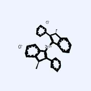 C[C@@H]1C(c2ccccc2)=[C]([Zr+2][C]2=C(c3ccccc3)[C@H](C)c3ccccc32)c2ccccc21.[Cl-].[Cl-]